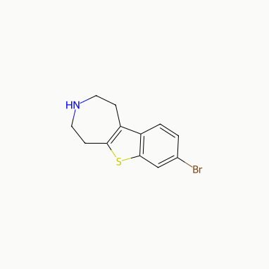 Brc1ccc2c3c(sc2c1)CCNCC3